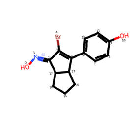 O/N=C1/C(Br)=C(c2ccc(O)cc2)C2CCCC12